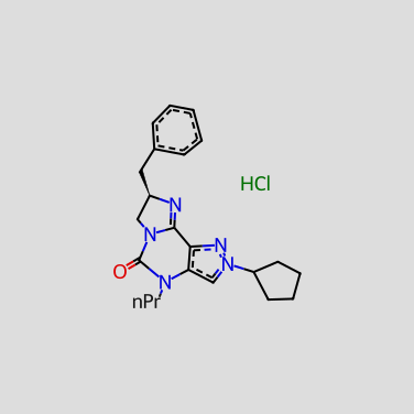 CCCN1C(=O)N2C[C@@H](Cc3ccccc3)N=C2c2nn(C3CCCC3)cc21.Cl